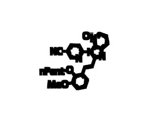 CCCCCOc1c(C=Cc2nc3ccc[n+]([O-])c3n2-c2ccc(C#N)cn2)cccc1OC